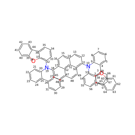 c1ccc(-c2ccccc2N(c2ccc3ccc4c(N(c5ccccc5-c5ccccc5)c5cccc6c5oc5ccccc56)ccc5ccc2c3c54)c2cccc3c2oc2ccccc23)cc1